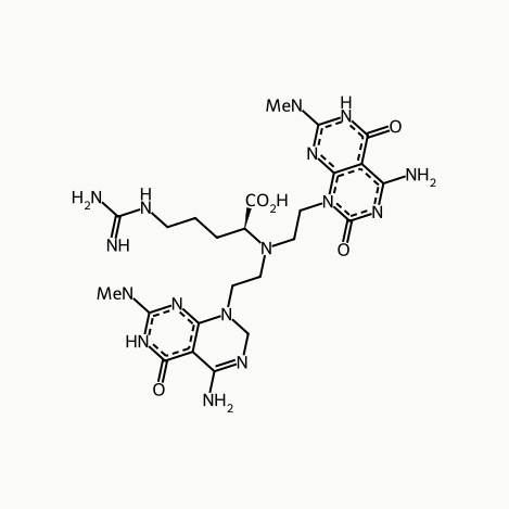 CNc1nc2c(c(=O)[nH]1)C(N)=NCN2CCN(CCn1c(=O)nc(N)c2c(=O)[nH]c(NC)nc21)[C@@H](CCCNC(=N)N)C(=O)O